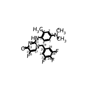 Cc1cc(N(C)C)ccc1Nc1nc(=O)c(F)cn1Cc1cc(F)c(F)c(F)c1